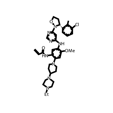 C=CC(=O)Nc1cc(Nc2cc(N3OCC[C@@H]3c3cccc(Cl)c3C)ncn2)c(OC)cc1N1CCC(N2CCN(CC)CC2)CC1